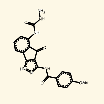 COc1ccc(C(=O)Nc2n[nH]c3c2C(=O)c2c(NC(=O)NN)cccc2-3)cc1